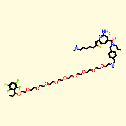 CCCN(Cc1ccc(CN(C)CCOCCOCCOCCOCCOCCOCCOCCOCCOCCOC(CC)c2c(F)c(F)cc(F)c2F)cc1)C(=O)C1=Cc2sc(CCCCCN(C)C)cc2N=C(N)C1